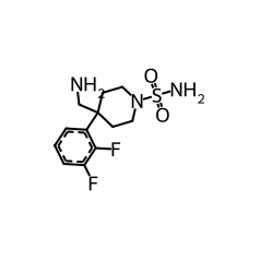 NCC1(c2cccc(F)c2F)CCN(S(N)(=O)=O)CC1